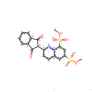 COS(=O)(=O)c1cc(S(=O)(=O)OC)c2nc(C3C(=O)c4ccccc4C3=O)ccc2c1